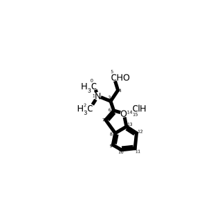 CN(C)C(CC=O)c1cc2ccccc2o1.Cl